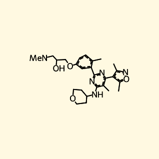 CNCC(O)COc1ccc(C)c(-c2nc(NC3CCOCC3)c(C)c(-c3c(C)noc3C)n2)c1